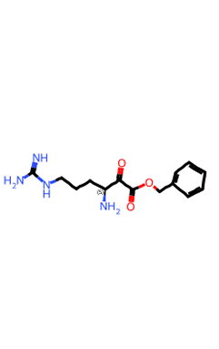 N=C(N)NCCC[C@H](N)C(=O)C(=O)OCc1ccccc1